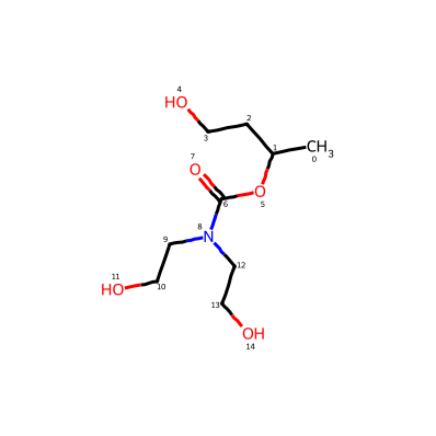 CC(CCO)OC(=O)N(CCO)CCO